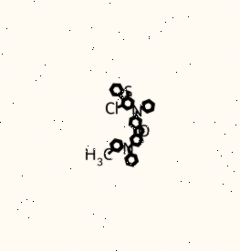 Cc1cccc(N(c2ccccc2)c2ccc3oc4cc(N(c5ccccc5)c5cc(Cl)c6c(c5)sc5ccccc56)ccc4c3c2)c1